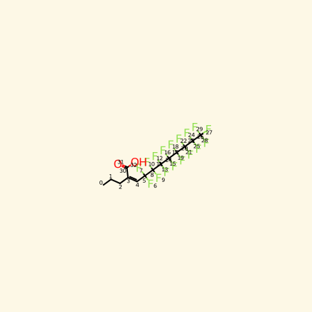 CCCC(=CC(F)(F)C(F)(F)C(F)(F)C(F)(F)C(F)(F)C(F)(F)C(F)(F)C(F)(F)F)C(=O)O